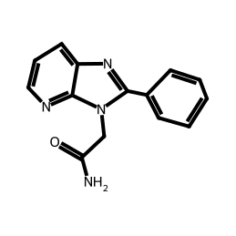 NC(=O)Cn1c(-c2ccccc2)nc2cccnc21